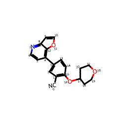 N#Cc1cc(-c2ccnc3ccoc23)ccc1OC1CCOCC1